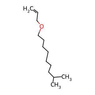 C=CCOCCCCCCCC(C)C